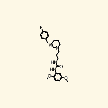 COc1ccc(OC)c(NC(=O)NCCCN2CCC[C@@H](Cc3ccc(F)cc3)C2)c1